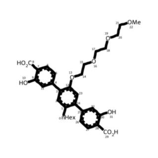 CCCCCCc1cc(-c2ccc(C(=O)O)c(O)c2)c(OCCOCCOCCOC)cc1-c1ccc(C(=O)O)c(O)c1